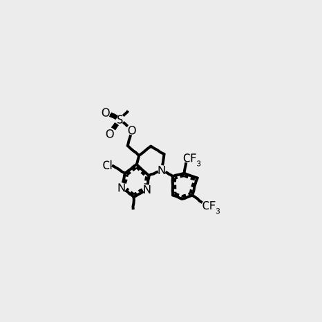 Cc1nc(Cl)c2c(n1)N(c1ccc(C(F)(F)F)cc1C(F)(F)F)CCC2COS(C)(=O)=O